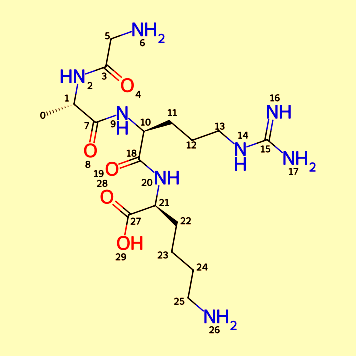 C[C@H](NC(=O)CN)C(=O)N[C@@H](CCCNC(=N)N)C(=O)N[C@@H](CCCCN)C(=O)O